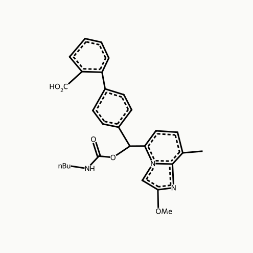 CCCCNC(=O)OC(c1ccc(-c2ccccc2C(=O)O)cc1)c1ccc(C)c2nc(OC)cn12